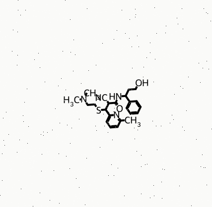 Cc1cccc(C(SCCN(C)C)C(C#N)C(=O)NC(CCO)c2ccccc2)n1